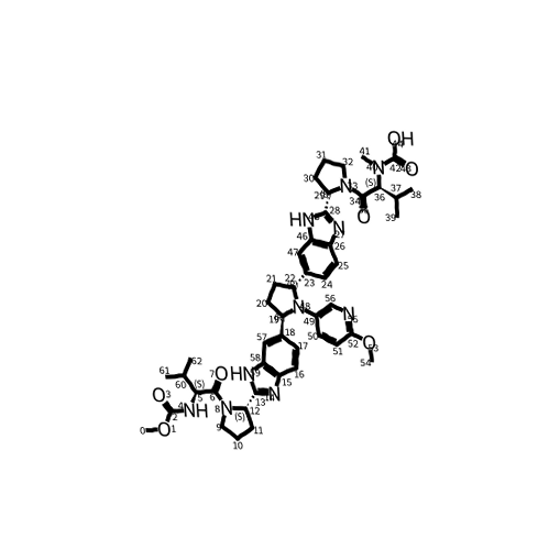 COC(=O)N[C@H](C(=O)N1CCC[C@H]1c1nc2ccc([C@H]3CC[C@H](c4ccc5nc([C@@H]6CCCN6C(=O)[C@H](C(C)C)N(C)C(=O)O)[nH]c5c4)N3c3ccc(OC)nc3)cc2[nH]1)C(C)C